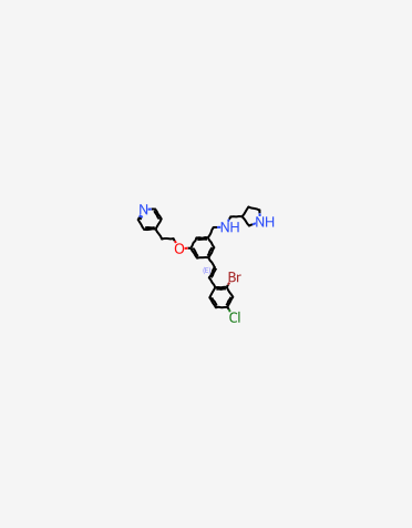 Clc1ccc(/C=C/c2cc(CNCC3CCNC3)cc(OCCc3ccncc3)c2)c(Br)c1